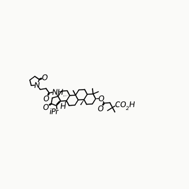 CC(C)C1=C2[C@H]3CCC4C(C)(CCC5C(C)(C)[C@@H](OC(=O)CC(C)(C)C(=O)O)CC[C@@]54C)[C@]3(C)CC[C@@]2(NC(=O)CCN2CCCC2=O)CC1=O